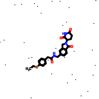 CCSc1ccc(CC(=O)NCc2ccc3c(c2)CN(C2CCC(=O)NC2=O)C3=O)cc1